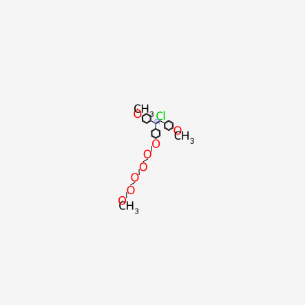 COCCOCCOCCOCCOCCOc1ccc(/C(=C(/Cl)c2ccc(OC)cc2)c2ccc(OC)cc2)cc1